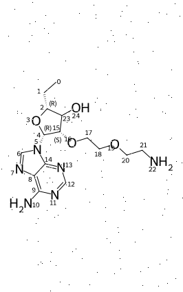 CC[C@H]1O[C@@H](n2cnc3c(N)ncnc32)[C@@H](OCCOCCN)C1O